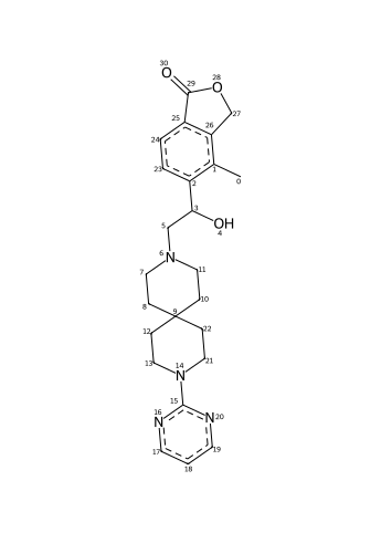 Cc1c(C(O)CN2CCC3(CC2)CCN(c2ncccn2)CC3)ccc2c1COC2=O